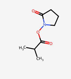 CC(C)C(=O)ON1CCCC1=O